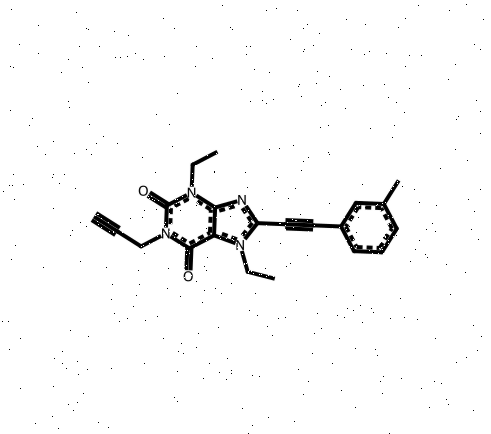 C#CCn1c(=O)c2c(nc(C#Cc3cccc(C)c3)n2CC)n(CC)c1=O